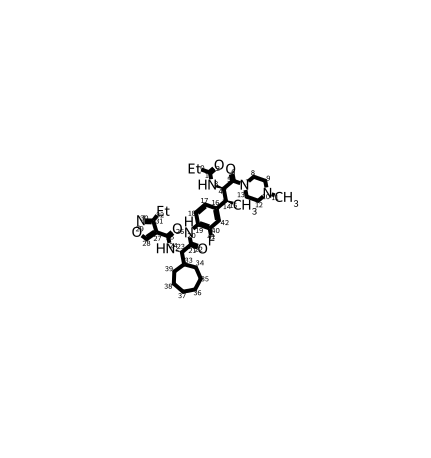 CCC(=O)N[C@@H](C(=O)N1CCN(C)CC1)[C@@H](C)c1ccc(NC(=O)[C@@H](NC(=O)c2conc2CC)C2CCCCCC2)c(F)c1